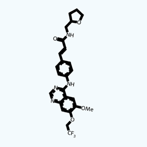 COc1cc2c(Nc3ccc(C=CC(=O)NCC4CCCO4)cc3)ncnc2cc1OCC(F)(F)F